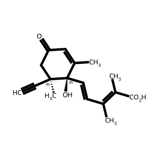 C#C[C@@]1(C)CC(=O)C=C(C)[C@]1(O)C=CC(C)=C(C)C(=O)O